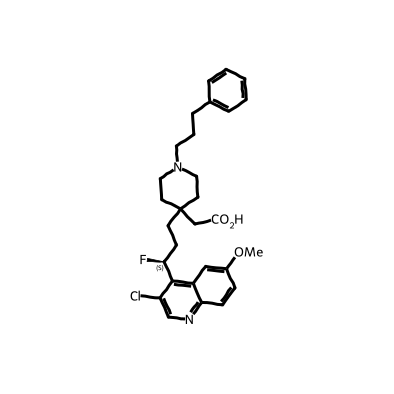 COc1ccc2ncc(Cl)c([C@@H](F)CCC3(CC(=O)O)CCN(CCCc4ccccc4)CC3)c2c1